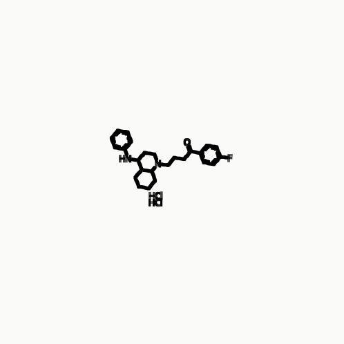 Cl.Cl.O=C(CCCN1CCC(Nc2ccccc2)C2CCCCC21)c1ccc(F)cc1